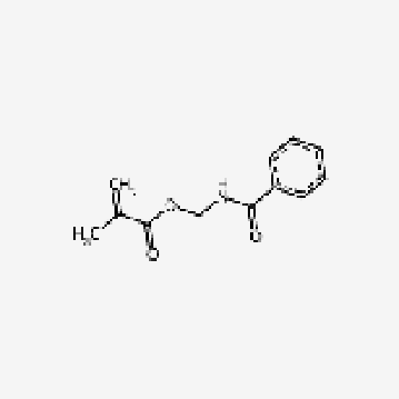 C=C(C)C(=O)OCNC(=O)c1ccccc1